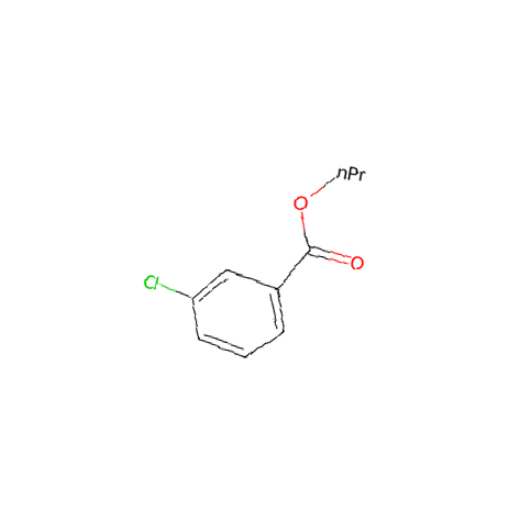 CCCOC(=O)c1cccc(Cl)c1